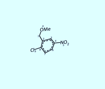 COCc1cc([N+](=O)[O-])ccc1Cl